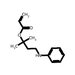 C=CC(=O)OC(C)(C)CCNc1ccccc1